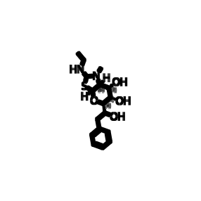 CCNC1S[C@H]2O[C@H](C(O)Cc3ccccc3)[C@@H](O)[C@H](O)[C@H]2N1C